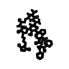 CCC(C)C(C(CC(=O)N1CCC[C@H]1C(OC)C(C)C(=O)N[C@@]1(C(=O)N2CCCCO2)C[C@@H]1c1ccccc1)OC)N(C)C(=O)C(NC(=O)C(C(C)C)N(C)CCCC(=O)N(C)NC(=O)CCCCCN1C(=O)C=CC1=O)C(C)C